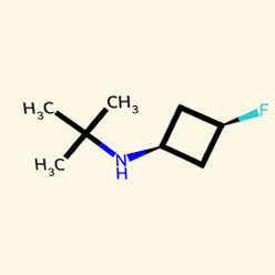 CC(C)(C)N[C@H]1C[C@@H](F)C1